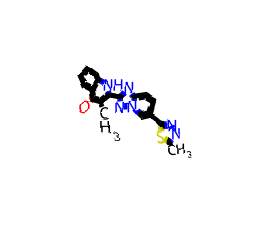 Cc1nnc(-c2ccc3nc(-c4[nH]c5ccccc5c(=O)c4C)nn3c2)s1